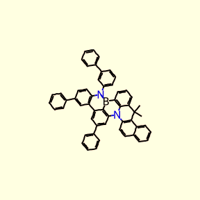 CC1(C)c2cccc3c2N(c2cc(-c4ccccc4)cc4c2B3N(c2cccc(-c3ccccc3)c2)c2ccc(-c3ccccc3)cc2-4)c2ccc3ccccc3c21